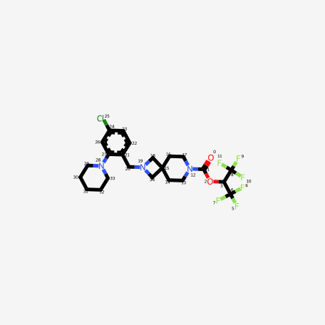 O=C(OC(C(F)(F)F)C(F)(F)F)N1CCC2(CC1)CN(Cc1ccc(Cl)cc1N1CCCCC1)C2